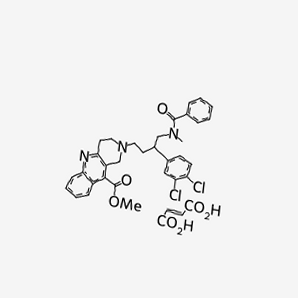 COC(=O)c1c2c(nc3ccccc13)CCN(CCC(CN(C)C(=O)c1ccccc1)c1ccc(Cl)c(Cl)c1)C2.O=C(O)/C=C/C(=O)O